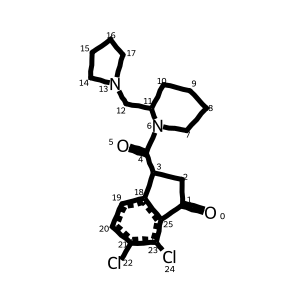 O=C1CC(C(=O)N2CCCCC2CN2CCCC2)c2ccc(Cl)c(Cl)c21